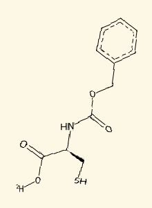 [2H]OC(=O)[C@H](CS)NC(=O)OCc1ccccc1